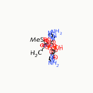 C=CCCC(=O)N[C@H](CC(=O)SC)C(=O)OC1C(COP(=O)(O)O[C@H]2C[C@H](n3ccc(N)nc3=O)O[C@@H]2COP(=O)(O)O)OC(n2cnc3c(N)ncnc32)C1O